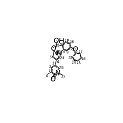 Cc1cc(-c2cnn(-c3cc(Oc4ccccc4)ccc3C(=O)O)c2)cn(C)c1=O